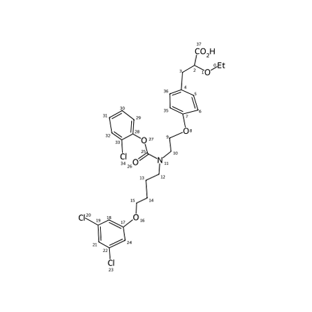 CCOC(Cc1ccc(OCCN(CCCCOc2cc(Cl)cc(Cl)c2)C(=O)Oc2ccccc2Cl)cc1)C(=O)O